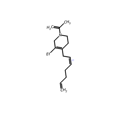 C=CCC/C=C\CC1=C(CC)CN(C(=C)C)CC1